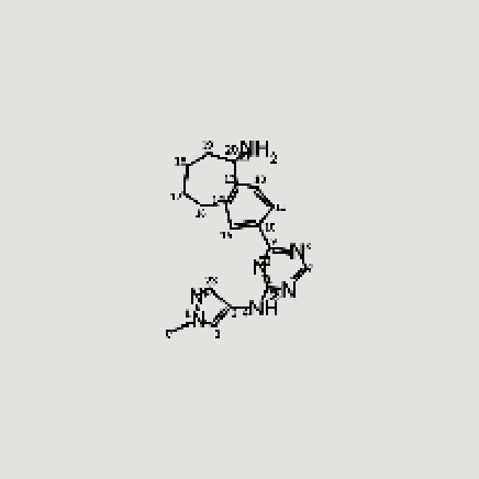 Cn1cc(Nc2ncnc(-c3ccc4c(c3)CCCC[C@H]4N)n2)cn1